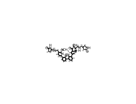 COc1nc(-c2cccc(-c3cccc(-c4cc5c(=O)n(C)c(CNC[C@H]6CNC(=O)C6)nn5c4)c3Cl)c2Cl)ccc1CNC[C@H]1CCC(=O)N1